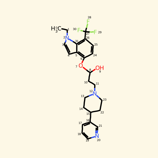 CCn1ccc2c(OC(O)CCN3CCC(c4cccnc4)CC3)ccc(C(F)(F)F)c21